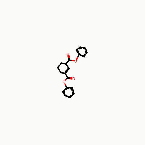 O=C(Oc1ccccc1)C1=CC(C(=O)Oc2ccccc2)CCC1